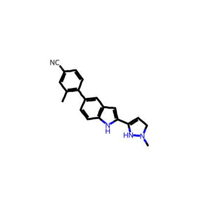 Cc1cc(C#N)ccc1-c1ccc2[nH]c(C3=CCN(C)N3)cc2c1